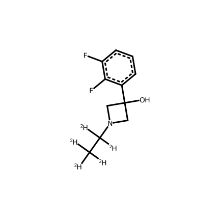 [2H]C([2H])([2H])C([2H])([2H])N1CC(O)(c2cccc(F)c2F)C1